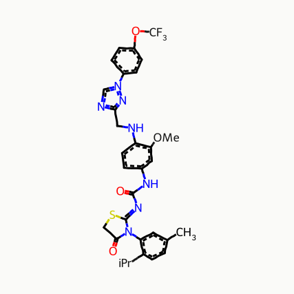 COc1cc(NC(=O)N=C2SCC(=O)N2c2cc(C)ccc2C(C)C)ccc1NCc1ncn(-c2ccc(OC(F)(F)F)cc2)n1